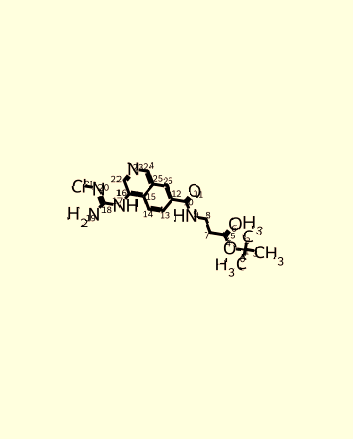 CC(C)(C)OC(=O)CCNC(=O)c1ccc2c(NC(N)=NCl)cncc2c1